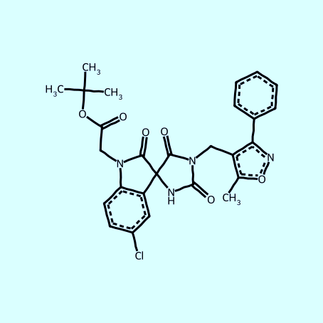 Cc1onc(-c2ccccc2)c1CN1C(=O)NC2(C1=O)C(=O)N(CC(=O)OC(C)(C)C)c1ccc(Cl)cc12